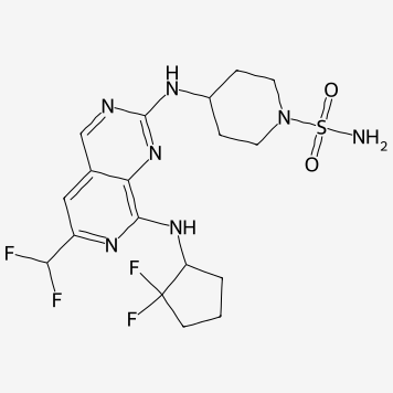 NS(=O)(=O)N1CCC(Nc2ncc3cc(C(F)F)nc(NC4CCCC4(F)F)c3n2)CC1